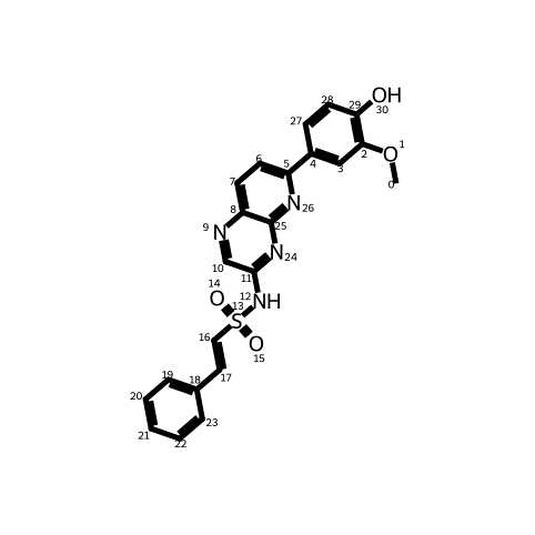 COc1cc(-c2ccc3ncc(NS(=O)(=O)/C=C/c4ccccc4)nc3n2)ccc1O